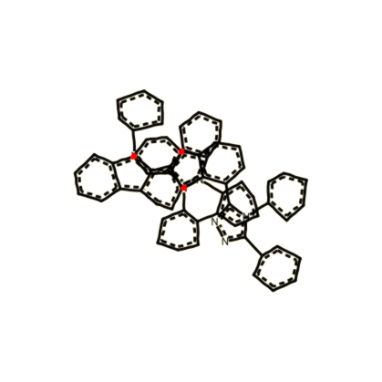 c1ccc(-c2nnc(-c3cccc4c5ccccc5n(-c5ccccc5-c5ccccc5-n5c6ccccc6c6c5ccc5c7ccccc7n(-c7ccccc7)c56)c34)n2-c2ccccc2)cc1